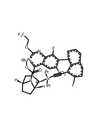 CC(C)[Si](C#Cc1c(F)ccc2cccc(-c3c([N+](=O)[O-])cc4c(N5C[C@H]6CC[C@@H](C5)N6C(=O)OC(C)(C)C)nc(OCC(F)(F)F)nc4c3F)c12)(C(C)C)C(C)C